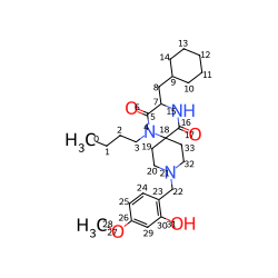 CCCCN1C(=O)C(CC2CCCCC2)NC(=O)C12CCN(Cc1ccc(OC)cc1O)CC2